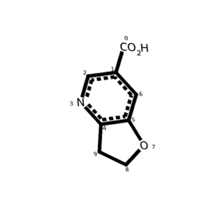 O=C(O)c1cnc2c(c1)OCC2